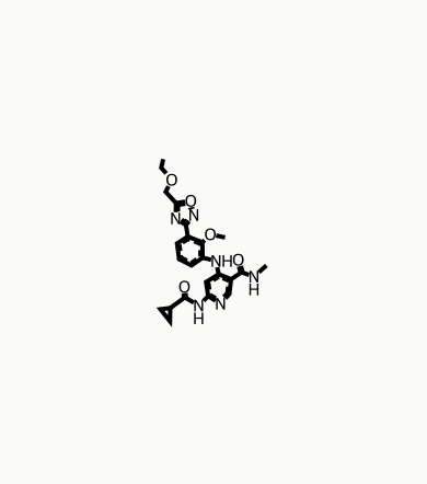 CCOCc1nc(-c2cccc(Nc3cc(NC(=O)C4CC4)ncc3C(=O)NC)c2OC)no1